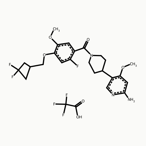 COc1cc(C(=O)N2CCC(c3cnc(N)cc3OC)CC2)c(F)cc1OCC1CC(F)(F)C1.O=C(O)C(F)(F)F